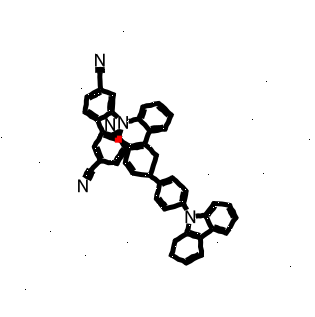 N#CC1=C(c2ccccc2-n2c3ccc(C#N)cc3c3ccc(C#N)cc32)CC(c2ccc(-n3c4c(c5ccccc53)C=CCC4)cc2)C=C1